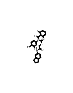 O=C(CSc1nc2cccc(F)c2c(=O)n1-c1ccc(Cl)c(F)c1)Nc1ccc2c(c1)CCC2